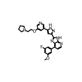 COc1cc(F)cc(-c2ccnc3[nH]c(-c4cc(-c5cncc(OCCN6CCCC6)c5)[nH]n4)nc23)c1